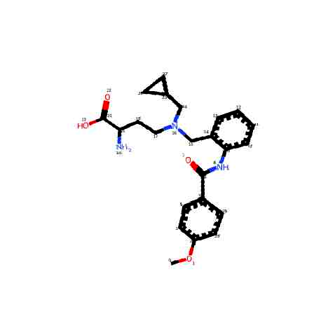 COc1ccc(C(=O)Nc2ccccc2CN(CCC(N)C(=O)O)CC2CC2)cc1